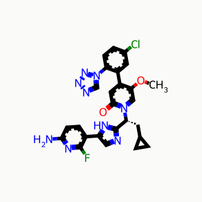 COc1cn([C@H](CC2CC2)c2ncc(-c3ccc(N)nc3F)[nH]2)c(=O)cc1-c1cc(Cl)ccc1-n1cnnn1